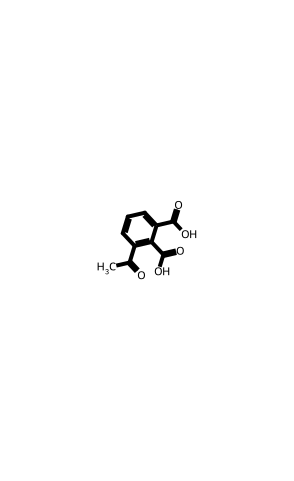 CC(=O)c1cccc(C(=O)O)c1C(=O)O